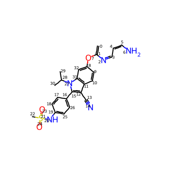 C=C(/N=C\C=C/N)Oc1ccc2c(C#N)c(-c3ccc(NS(C)(=O)=O)cc3)n(C(C)C)c2c1